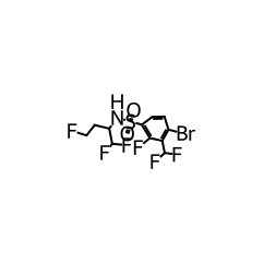 O=S(=O)(NC(CCF)C(F)F)c1ccc(Br)c(C(F)F)c1F